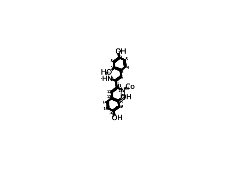 [NH]C(=Cc1ccc(O)cc1O)C(=Cc1ccc(O)cc1O)[NH][Co]